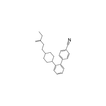 C=C(CC)CCC1CCC(c2ccccc2-c2ccc(C#N)cc2)CC1